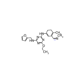 CCOc1nc(NCc2ccco2)nc(NC2=CC(/C=N\C)=C(C)CC2)n1